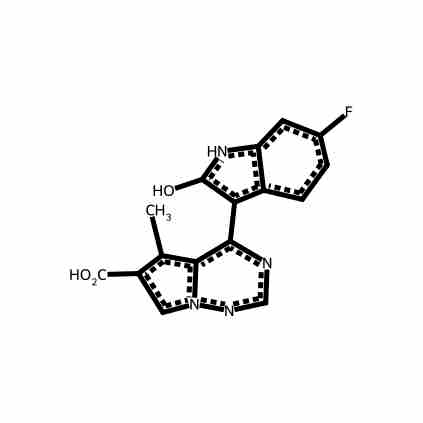 Cc1c(C(=O)O)cn2ncnc(-c3c(O)[nH]c4cc(F)ccc34)c12